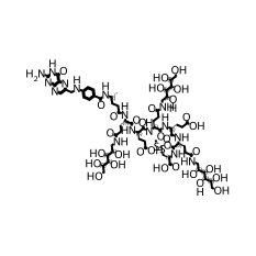 CSSC[C@@H](NC(=O)[C@H](CCC(=O)NC[C@H](O)[C@@H](O)[C@H](O)[C@H](O)CO)NC(=O)[C@@H](CCC(=O)O)NC(=O)[C@H](CCC(=O)NC[C@H](O)[C@@H](O)[C@H](O)[C@H](O)CO)NC(=O)[C@@H](CCC(=O)O)NC(=O)[C@H](CCC(=O)NC[C@H](O)[C@@H](O)[C@H](O)[C@H](O)CO)NC(=O)CC[C@@H](C)NC(=O)c1ccc(NCc2cnc3nc(N)[nH]c(=O)c3n2)cc1)C(=O)O